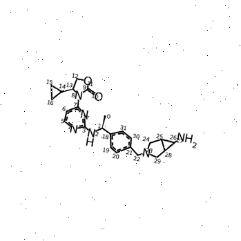 C[C@H](Nc1nccc(N2C(=O)OC[C@@H]2C2CC2)n1)c1ccc(CN2CC3C(N)C3C2)cc1